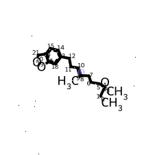 CCC1(C)OC1CC/C(C)=C/CCc1ccc2c(c1)OOC2